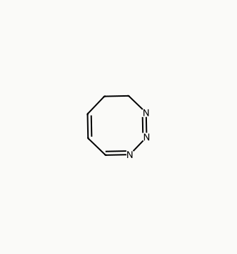 C1=C/CC\N=N/N=C\1